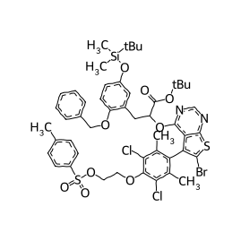 Cc1ccc(S(=O)(=O)OCCOc2c(Cl)c(C)c(-c3c(Br)sc4ncnc(OC(Cc5cc(O[Si](C)(C)C(C)(C)C)ccc5OCc5ccccc5)C(=O)OC(C)(C)C)c34)c(C)c2Cl)cc1